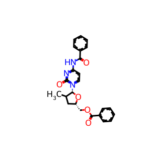 CC1C[C@@H](COC(=O)c2ccccc2)O[C@H]1n1ccc(NC(=O)c2ccccc2)nc1=O